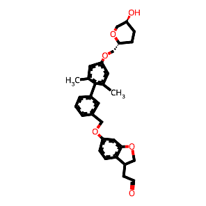 Cc1cc(OC[C@H]2CC[C@H](O)CO2)cc(C)c1-c1cccc(COc2ccc3c(c2)OCC3CC=O)c1